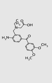 CCN(CC(=O)O)Cc1cc(C(=O)c2ccc(OC)c(OC)c2)ccc1N